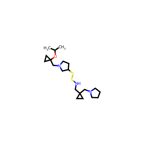 CC(C)OC1(CN2CCC(SSNCC3(CN4CCCC4)CC3)C2)CC1